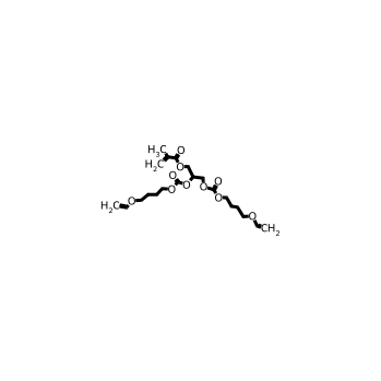 C=COCCCCOC(=O)OCC(COC(=O)C(=C)C)OC(=O)OCCCCOC=C